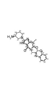 Cn1c(=O)n(CC2=Nc3ccccc3OC2)c(=O)c2[nH]c(N3CCCC(N)C3)nc21